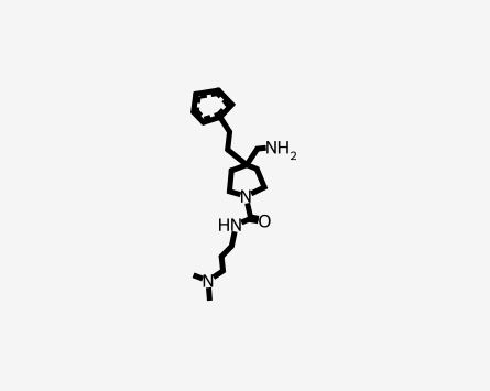 CN(C)CCCNC(=O)N1CCC(CN)(CCc2ccccc2)CC1